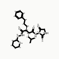 CC(C)C[C@@H](C(=O)NN1C(=O)CNC1=S)[C@H](CCCc1ccccc1)C(=O)NOC1CCCCO1